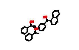 CB(O)c1ccccc1.CCB(O)c1ccccc1.OB(c1ccccc1)c1cccc2ccccc12